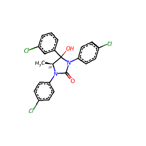 C[C@@H]1N(c2ccc(Cl)cc2)C(=O)N(c2ccc(Cl)cc2)C1(O)c1cccc(Cl)c1